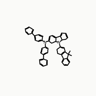 CC1(C)C2=C(CCC(N3C4CC=CC=C4C4=CC=C(N(c5ccc(-c6ccccc6)cc5)c5ccc(-c6ccccc6)cc5)CC43)=C2)c2ccccc21